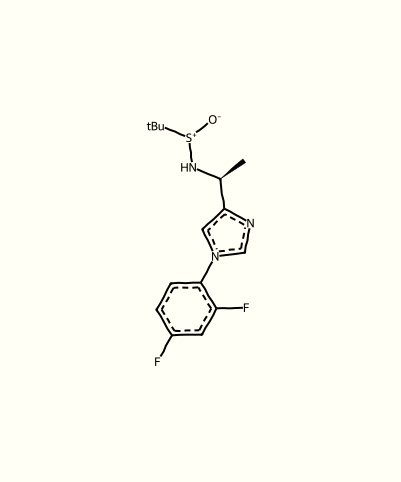 C[C@H](N[S+]([O-])C(C)(C)C)c1cn(-c2ccc(F)cc2F)cn1